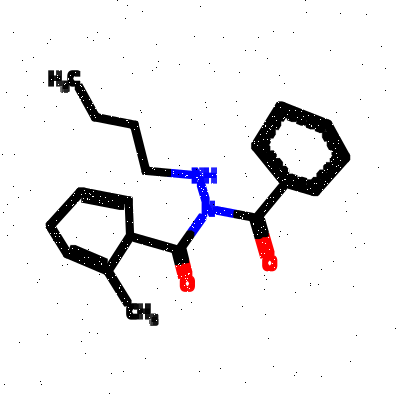 CCCCNN(C(=O)c1ccccc1)C(=O)C1C=CCC=C1C